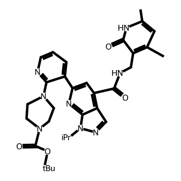 Cc1cc(C)c(CNC(=O)c2cc(-c3cccnc3N3CCN(C(=O)OC(C)(C)C)CC3)nc3c2cnn3C(C)C)c(=O)[nH]1